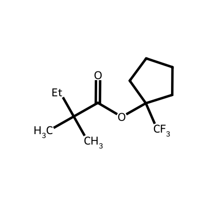 CCC(C)(C)C(=O)OC1(C(F)(F)F)CCCC1